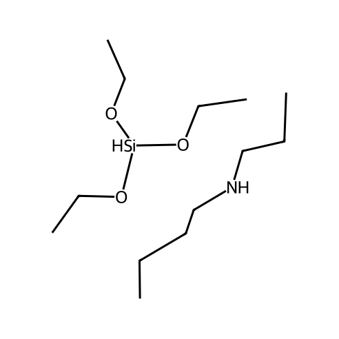 CCCCNCCC.CCO[SiH](OCC)OCC